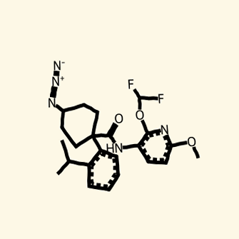 COc1ccc(NC(=O)C2(c3ccccc3C(C)C)CCC(N=[N+]=[N-])CC2)c(OC(F)F)n1